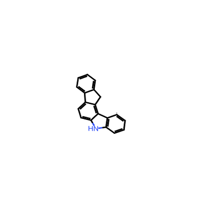 [c]1cccc2[nH]c3ccc4c(c3c12)Cc1ccccc1-4